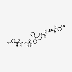 N#Cc1cccc(NC(=O)NCCCNC(=O)Nc2ccc3c(c2)C(c2ccccc2)c2cc(NC(=O)NCCCNC(=O)Nc4cccc(C#N)c4)ccc2-3)c1